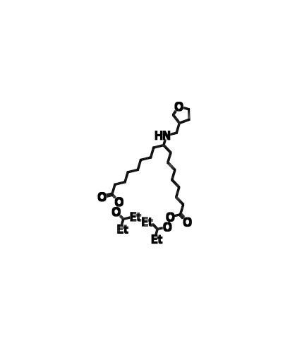 CCC(CC)OOC(=O)CCCCCCCC(CCCCCCCC(=O)OOC(CC)CC)NCC1CCOC1